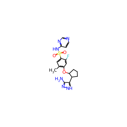 Cc1cc(S(=O)(=O)Nc2ccncn2)c(F)cc1OC1CCCC1c1c[nH]nc1N